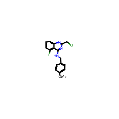 COc1ccc(CNc2nc(CCl)nc3cccc(F)c23)cc1